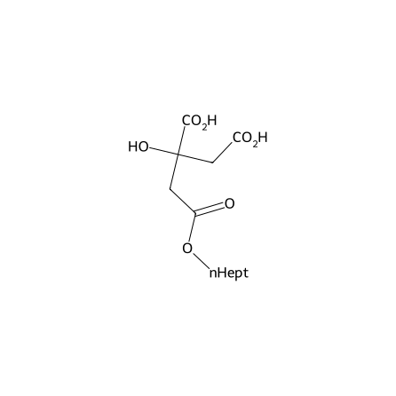 CCCCCCCOC(=O)CC(O)(CC(=O)O)C(=O)O